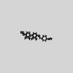 CCCC1CCC(COc2ccc(-c3ccc(OCC)c(F)c3F)c(F)c2F)CC1